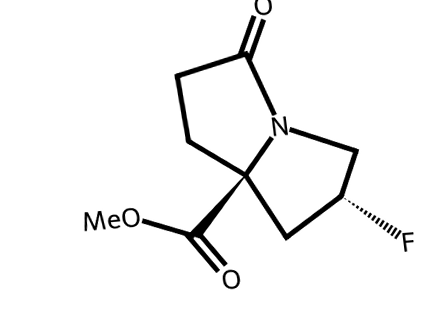 COC(=O)[C@@]12CCC(=O)N1C[C@H](F)C2